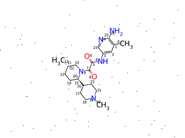 Cc1cc(NC(=O)C(=O)N2C[C@@H](C)CC[C@@H]2C2CCN(C)CC2)cnc1N